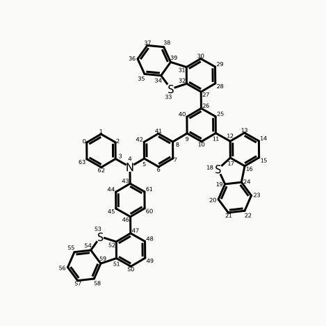 c1ccc(N(c2ccc(-c3cc(-c4cccc5c4sc4ccccc45)cc(-c4cccc5c4sc4ccccc45)c3)cc2)c2ccc(-c3cccc4c3sc3ccccc34)cc2)cc1